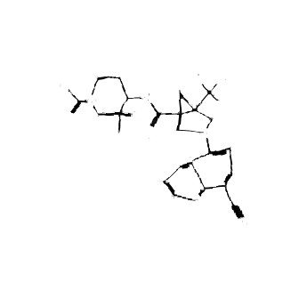 N#Cc1ccc(N2CC3(C(=O)NC4CCN(C(=O)O)CC4(F)F)CC3(C(F)(F)F)C2)c2cccnc12